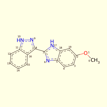 COc1ccc2nc(-c3n[nH]c4ccccc34)[nH]c2c1